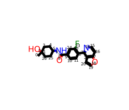 CC1(O)CCC(NC(=O)c2ccc(-c3nccc4occc34)c(F)c2)CC1